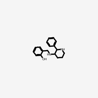 Oc1ccccc1CNC1CCCNC1c1ccccc1